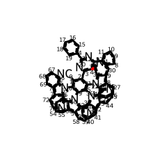 N#Cc1c(-c2cc(-c3ccccc3)nc(-c3ccccc3)n2)c(-n2c3ccccc3c3ccncc32)c(-n2c3ccccc3c3ccncc32)c(-n2c3ccccc3c3ccncc32)c1-n1c2ccccc2c2ccncc21